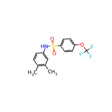 Cc1ccc(NS(=O)(=O)c2ccc(OC(F)(F)F)cc2)cc1C